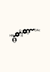 CC(=O)OCCCC1COc2cc(NC(=O)c3ccc(C(=N)N4CCOCC4)cc3)ccc2C1